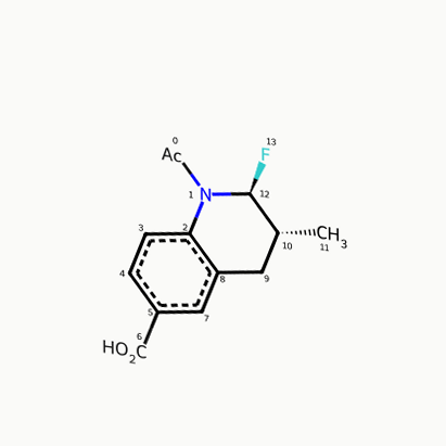 CC(=O)N1c2ccc(C(=O)O)cc2C[C@@H](C)[C@@H]1F